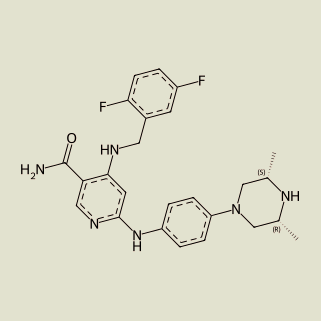 C[C@@H]1CN(c2ccc(Nc3cc(NCc4cc(F)ccc4F)c(C(N)=O)cn3)cc2)C[C@H](C)N1